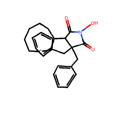 O=C1C(C2CCCCCCC2)C(Cc2ccccc2)(Cc2ccccc2)C(=O)N1O